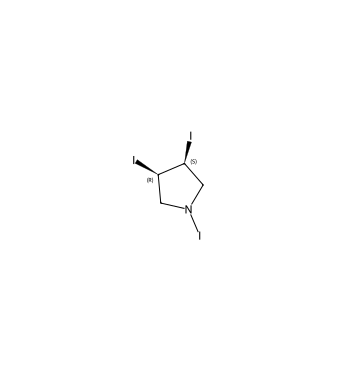 I[C@@H]1CN(I)C[C@@H]1I